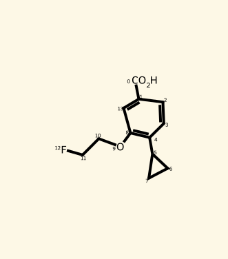 O=C(O)c1ccc(C2CC2)c(OCCF)c1